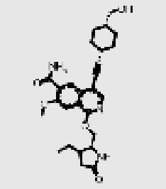 CCC1CC(=O)N[C@@H]1COc1ncc(C#C[C@H]2CC[C@@H](CO)CC2)c2cc(C(N)=O)c(OC)cc12